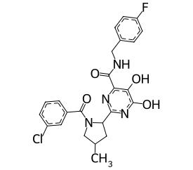 CC1CC(c2nc(O)c(O)c(C(=O)NCc3ccc(F)cc3)n2)N(C(=O)c2cccc(Cl)c2)C1